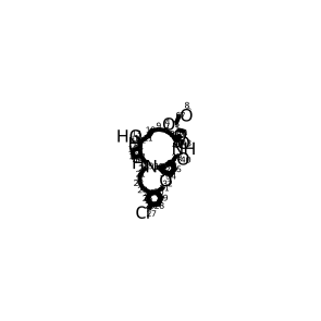 CC[C@H]1[C@@H](OCCOC)C/C=C/[C@H](O)[C@@H]2CC[C@H]2CN2CCCCc3cc(Cl)ccc3COc3ccc(cc32)C(=O)NS1(=O)=O